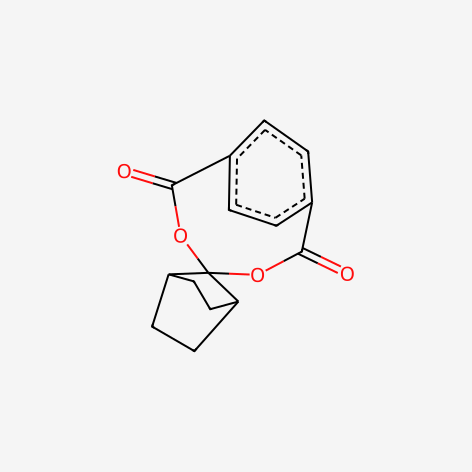 O=C1OC2(OC(=O)c3ccc1cc3)C1CCC2CC1